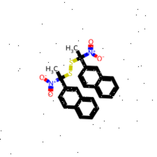 CC(SSC(C)(c1ccc2ccccc2c1)[N+](=O)[O-])(c1ccc2ccccc2c1)[N+](=O)[O-]